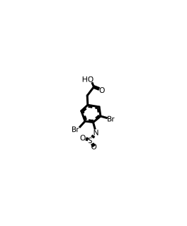 O=C(O)Cc1cc(Br)c(N=S(=O)=O)c(Br)c1